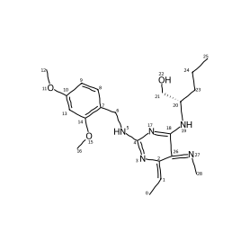 C/C=C1\N=C(NCc2ccc(OC)cc2OC)N=C(N[C@H](CO)CCC)\C1=N\C